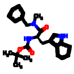 CN(Cc1ccccc1)C(=O)[C@H](Cc1c[nH]c2ccccc12)NC(=O)OC(C)(C)C